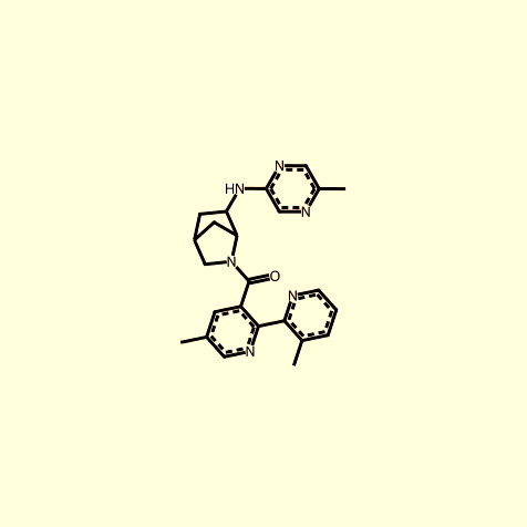 Cc1cnc(-c2ncccc2C)c(C(=O)N2CC3CC(Nc4cnc(C)cn4)C2C3)c1